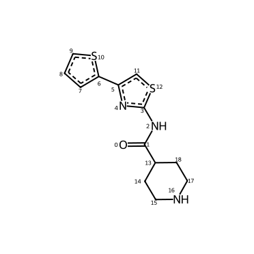 O=C(Nc1nc(-c2cccs2)cs1)C1CCNCC1